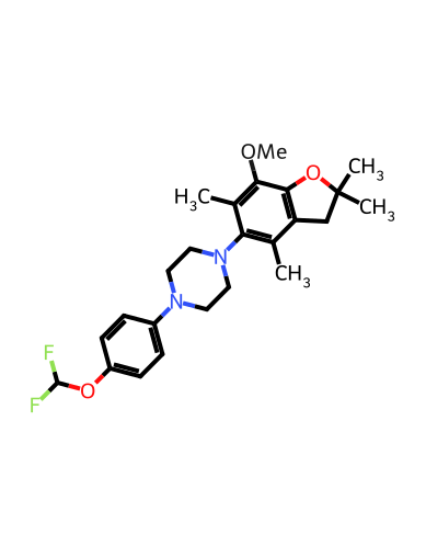 COc1c(C)c(N2CCN(c3ccc(OC(F)F)cc3)CC2)c(C)c2c1OC(C)(C)C2